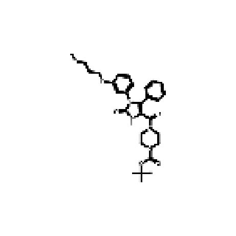 COCCCOc1cccc(-n2c(-c3ccccc3)c(C(=O)N3CCN(C(=O)OC(C)(C)C)CC3)[nH]c2=O)c1